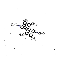 Cc1ccc(C2(c3ccc(C)cc3)c3cc(/C=C/C=O)ccc3-c3sc4c5c(sc4c32)-c2ccc(/C=C/C=O)cc2C5(c2ccc(C)cc2)c2ccc(C)cc2)cc1